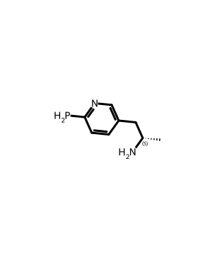 C[C@H](N)Cc1ccc(P)nc1